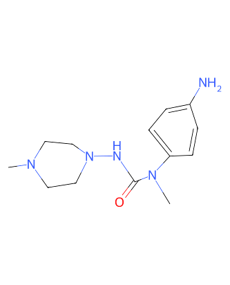 CN1CCN(NC(=O)N(C)c2ccc(N)cc2)CC1